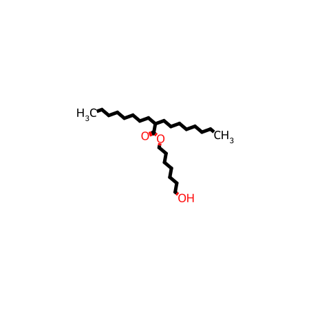 CCCCCCCCC(CCCCCCCC)C(=O)OCCCCCCCO